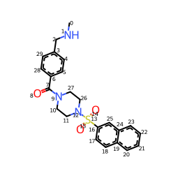 CNCc1ccc(C(=O)N2CCN(S(=O)(=O)c3ccc4ccccc4c3)CC2)cc1